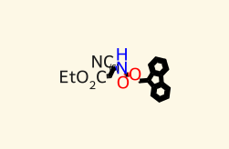 CCOC(=O)C[C@@H](C#N)NC(=O)OCC1c2ccccc2-c2ccccc21